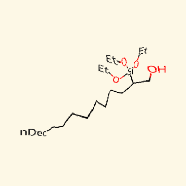 CCCCCCCCCCCCCCCCCCC(CO)[Si](OCC)(OCC)OCC